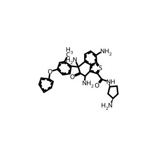 Cc1cc(Oc2ccccc2)ccc1C1(N)C(=O)C(N)c2c(C(=O)N[C@H]3CC[C@@H](N)C3)sc3c(N)ccc1c23